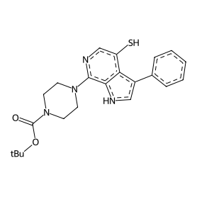 CC(C)(C)OC(=O)N1CCN(c2ncc(S)c3c(-c4ccccc4)c[nH]c23)CC1